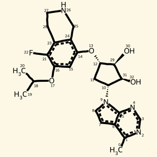 Cc1ncnc2c1ccn2[C@@H]1C[C@H](Oc2cc(OC(C)C)c(F)c3c2CNCC3)[C@@H](O)[C@H]1O